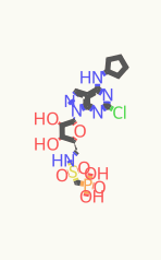 O=P(O)(O)CS(=O)(=O)NC[C@H]1O[C@@H](n2ncc3c(NC4CCCC4)nc(Cl)nc32)[C@H](O)[C@@H]1O